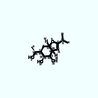 C[C@@H](O)[C@H]1C[C@@H]2OC(N(C)C)=N[C@@H]2[C@@H](O)[C@@H]1O